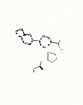 CCC(=O)N[C@H]1CC[C@@H](N(C)C(O)c2ccc(-c3ccc4[nH]ccc4c3)nn2)C1